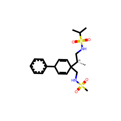 CC(C)S(=O)(=O)NC[C@H](C)C1(CNS(C)(=O)=O)C=CC(c2ccccc2)C=C1